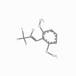 COc1cccc(OC)c1C=C(Cl)C(F)(F)F